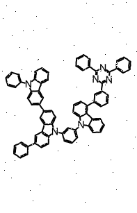 c1ccc(-c2ccc3c(c2)c2cc(-c4ccc5c(c4)c4ccccc4n5-c4ccccc4)ccc2n3-c2cccc(-n3c4ccccc4c4c(-c5cccc(-c6nc(-c7ccccc7)nc(-c7ccccc7)n6)c5)cccc43)c2)cc1